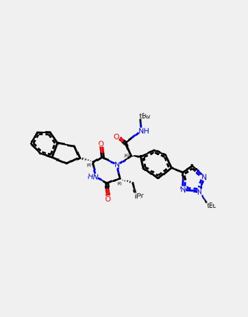 CC(C)C[C@@H]1C(=O)N[C@H](C2Cc3ccccc3C2)C(=O)N1[C@@H](C(=O)NC(C)(C)C)c1ccc(-c2cnn(C(C)(C)C)n2)cc1